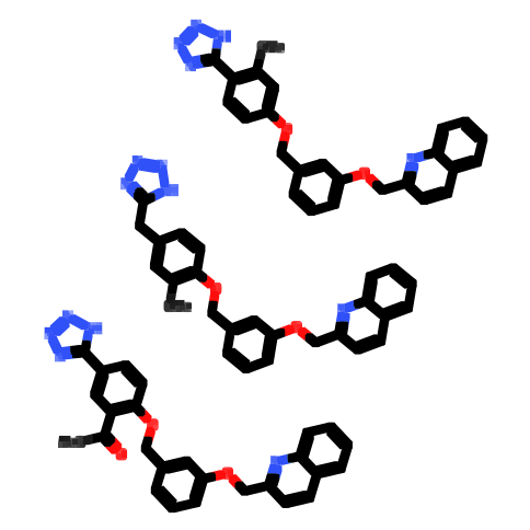 COC(=O)c1cc(-c2nnn[nH]2)ccc1OCc1cccc(OCc2ccc3ccccc3n2)c1.COc1cc(Cc2nnn[nH]2)ccc1OCc1cccc(OCc2ccc3ccccc3n2)c1.COc1cc(OCc2cccc(OCc3ccc4ccccc4n3)c2)ccc1-c1nnn[nH]1